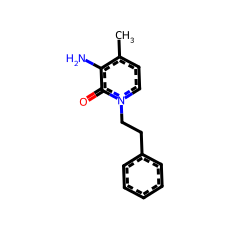 Cc1ccn(CCc2ccccc2)c(=O)c1N